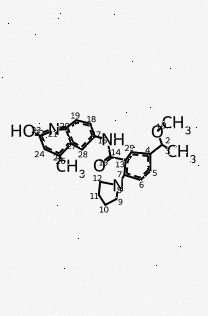 COC(C)c1ccc(N2CCCC2)c(C(=O)Nc2ccc3nc(O)cc(C)c3c2)c1